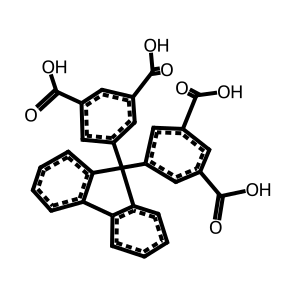 O=C(O)c1cc(C(=O)O)cc(C2(c3cc(C(=O)O)cc(C(=O)O)c3)c3ccccc3-c3ccccc32)c1